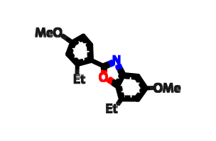 CCc1cc(OC)ccc1-c1nc2cc(OC)cc(CC)c2o1